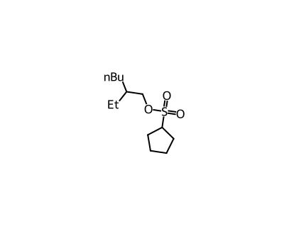 CCCCC(CC)COS(=O)(=O)C1CCCC1